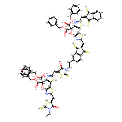 CCN1C(=O)/C(=C/c2nc3c(s2)-c2sc(/C=C4\SC(=S)N(CCc5ccc6c(c5)C(=S)/C(=C\c5nc7c(s5)-c5sc(C=C8C(=S)c9ccccc9C8=S)nc5C(C(=O)OCc5ccccc5)(C(=O)OCc5ccccc5)O7)C6=S)C4=O)nc2C(C(=O)OCc2ccccc2)(C(=O)OCc2ccccc2)O3)SC1=S